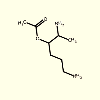 CC(=O)OC(CCCN)C(C)N